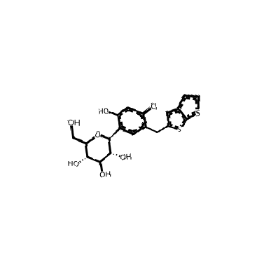 OCC1O[C@@H](c2cc(Cc3cc4ccsc4s3)c(Cl)cc2O)[C@H](O)C(O)[C@@H]1O